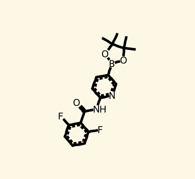 CC1(C)OB(c2ccc(NC(=O)c3c(F)cccc3F)nc2)OC1(C)C